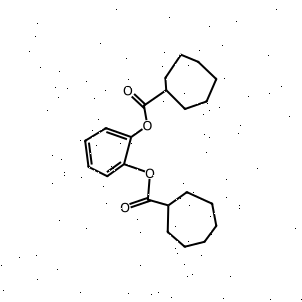 O=C(Oc1ccccc1OC(=O)C1CCCCCC1)C1CCCCCC1